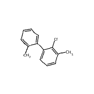 Cc1ccccc1-c1cccc(C)c1Cl